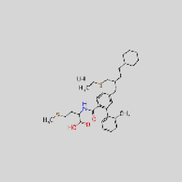 CCSCC(CCC1CCCCC1)Cc1ccc(C(=O)NC(CCSC)C(=O)O)c(-c2ccccc2C)c1.[LiH]